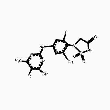 CCc1c(C)nc(Nc2cc(O)c(N3CC(=O)NS3(=O)=O)c(F)c2)nc1O